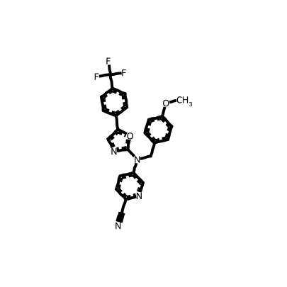 COc1ccc(CN(c2ccc(C#N)nc2)c2ncc(-c3ccc(C(F)(F)F)cc3)o2)cc1